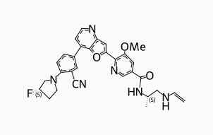 C=CNC[C@H](C)NC(=O)c1cnc(-c2cc3nccc(-c4ccc(N5CC[C@H](F)C5)c(C#N)c4)c3o2)c(OC)c1